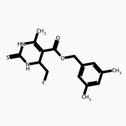 CC1=C(C(=O)OCc2cc(C)cc(C)c2)C(CF)NC(=S)N1